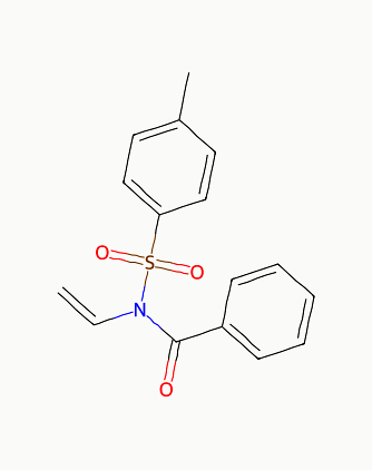 C=CN(C(=O)c1ccccc1)S(=O)(=O)c1ccc(C)cc1